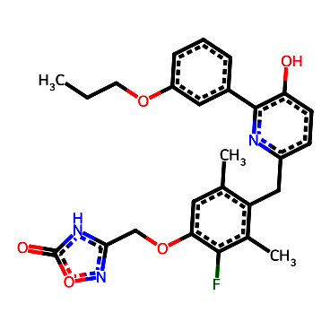 CCCOc1cccc(-c2nc(Cc3c(C)cc(OCc4noc(=O)[nH]4)c(F)c3C)ccc2O)c1